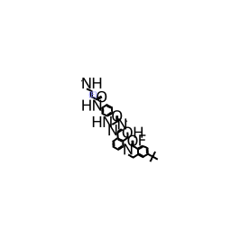 CNC/C=C/C(=O)Nc1cccc(Nc2nc(-c3cccc(N4CCc5cc(C(C)(C)C)cc(F)c5C4=O)c3CO)cn(C)c2=O)c1